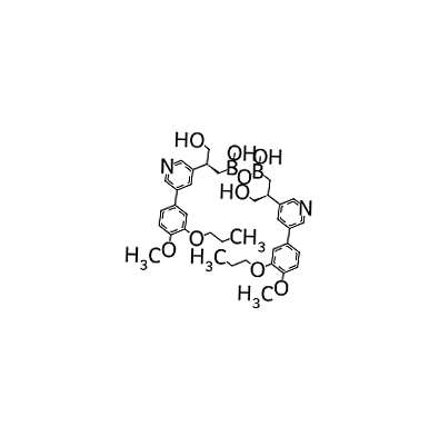 CCCOc1cc(-c2cncc([C@@H](CO)CB(O)OB(O)C[C@H](CO)c3cncc(-c4ccc(OC)c(OCCC)c4)c3)c2)ccc1OC